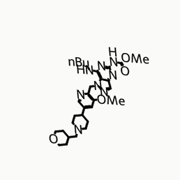 CCCCNc1nc(NC(=O)OC)nc2cnn(Cc3ncc(C4CCN(CC5CCOCC5)CC4)cc3OC)c12